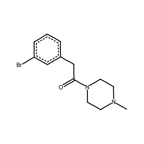 CN1CCN(C(=O)Cc2cccc(Br)c2)CC1